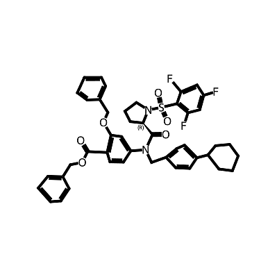 O=C(OCc1ccccc1)c1ccc(N(Cc2ccc(C3CCCCC3)cc2)C(=O)[C@H]2CCCN2S(=O)(=O)c2c(F)cc(F)cc2F)cc1OCc1ccccc1